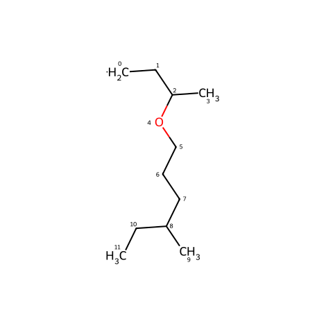 [CH2]CC(C)OCCCC(C)CC